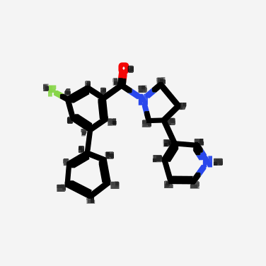 O=C(c1cc(F)cc(-c2ccccc2)c1)N1CCC(c2cccnc2)C1